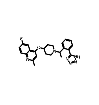 Cc1cc(OC2CCN(C(C)c3ccccc3-c3nnn[nH]3)CC2)c2cc(F)ccc2n1